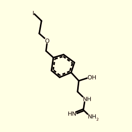 N=C(N)NCC(O)c1ccc(COCCI)cc1